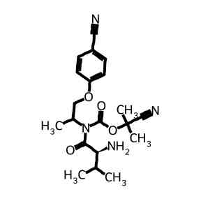 CC(C)[C@H](N)C(=O)N(C(=O)OC(C)(C)C#N)C(C)COc1ccc(C#N)cc1